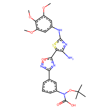 COc1cc(Nc2nc(N)c(-c3nc(-c4cccc(N(OC(C)(C)C)C(=O)O)c4)no3)s2)cc(OC)c1OC